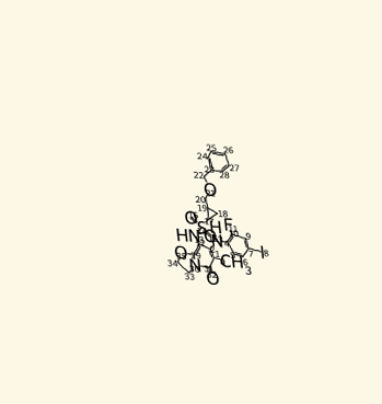 Cc1c(Nc2ccc(I)cc2F)c(NS(=O)(=O)C2CC2COCc2ccccc2)c2n(c1=O)CCO2